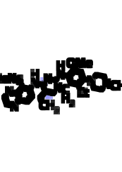 C=CC(=C/N=C)/C(=N\CNc1cc(CC)c(N2CCN(C)CC2)cc1OC)Nc1ccc2nccnc2c1SNC